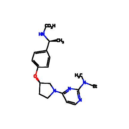 CCN(C)c1nccc(N2CC[C@@H](Oc3ccc([C@H](C)NC(=O)O)cc3)C2)n1